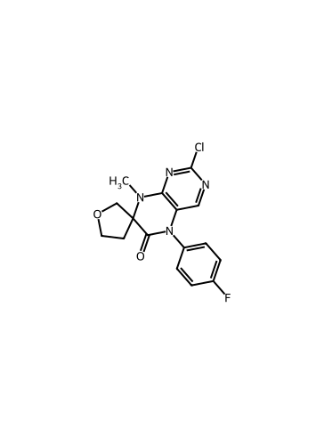 CN1c2nc(Cl)ncc2N(c2ccc(F)cc2)C(=O)C12CCOC2